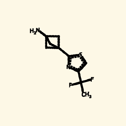 CC(F)(F)c1csc(C23CC(N)(C2)C3)n1